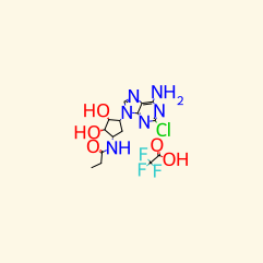 CCC(=O)N[C@H]1C[C@@H](n2cnc3c(N)nc(Cl)nc32)[C@H](O)[C@@H]1O.O=C(O)C(F)(F)F